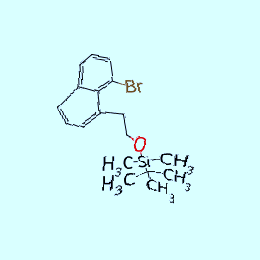 CC(C)(C)[Si](C)(C)OCCc1cccc2cccc(Br)c12